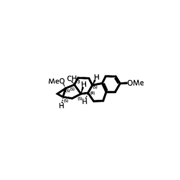 COC1=CCC2=C(CC[C@@H]3[C@@H]2CC[C@@]2(C)[C@H]3C[C@H]3C[C@]32OC)C1